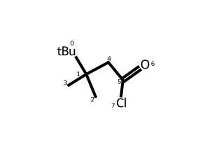 CC(C)(C)C(C)(C)CC(=O)Cl